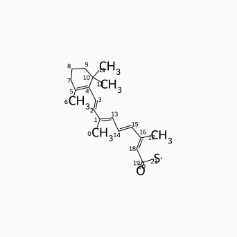 CC(C=CC1=C(C)CCCC1(C)C)=CC=CC(C)=CC(=O)[S]